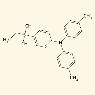 CC[Si](C)(C)c1ccc(N(c2ccc(C)cc2)c2ccc(C)cc2)cc1